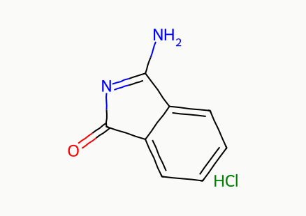 Cl.NC1=NC(=O)c2ccccc21